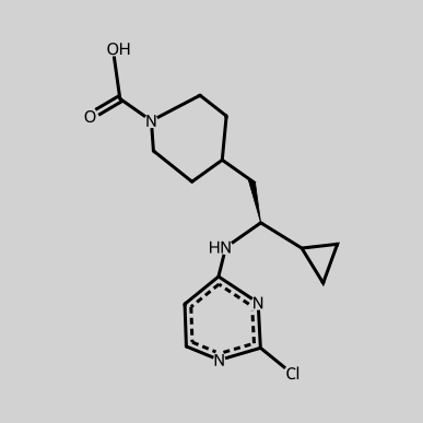 O=C(O)N1CCC(C[C@H](Nc2ccnc(Cl)n2)C2CC2)CC1